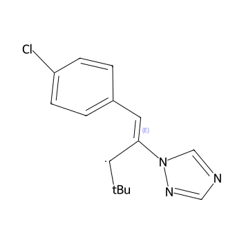 CC(C)(C)[CH]/C(=C\c1ccc(Cl)cc1)n1cncn1